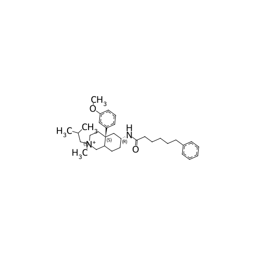 COc1cccc([C@]23CC[N@@+](C)(CC(C)C)CC2CC[C@@H](NC(=O)CCCCCc2ccccc2)C3)c1